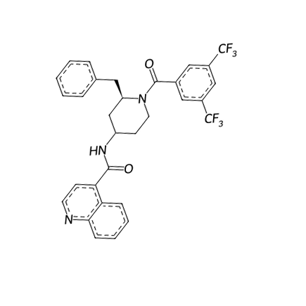 O=C(NC1CCN(C(=O)c2cc(C(F)(F)F)cc(C(F)(F)F)c2)[C@H](Cc2ccccc2)C1)c1ccnc2ccccc12